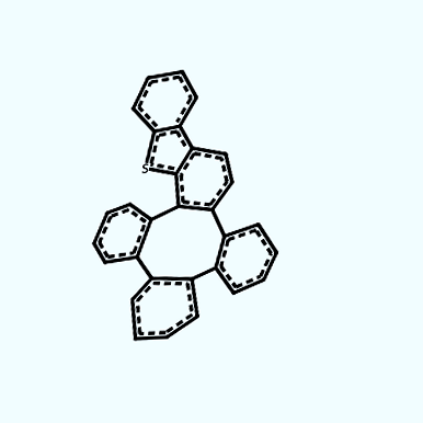 c1ccc2c(c1)-c1ccccc1-c1ccc3c(sc4ccccc43)c1-c1ccccc1-2